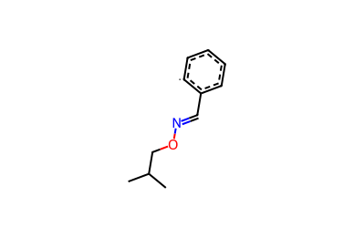 CC(C)CON=Cc1[c]cccc1